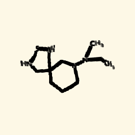 CN(C)N1CCCC2(CNSN2)C1